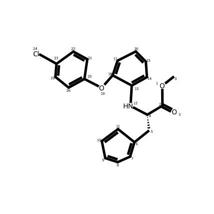 COC(=O)[C@H](Cc1ccccc1)Nc1ccccc1Oc1ccc(Cl)cc1